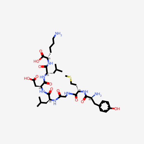 CSCC[C@H](NC(=O)[C@@H](N)Cc1ccc(O)cc1)C(=O)NCC(=O)N[C@@H](CC(C)C)C(=O)N[C@@H](CC(=O)O)C(=O)N[C@@H](CC(C)C)C(=O)N[C@@H](CCCCN)C(=O)O